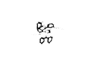 BC(c1ccccc1)c1ccccc1.CCCCCCOc1cccc(C([SiH2]c2ccccc2)(c2cccc(OCCCCCC)c2)n2ccnc2)c1